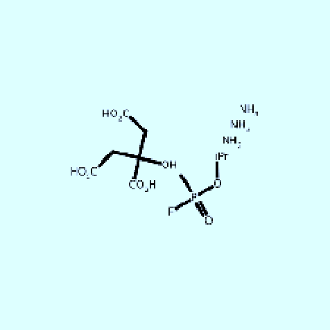 CC(C)OP(C)(=O)F.N.N.N.O=C(O)CC(O)(CC(=O)O)C(=O)O